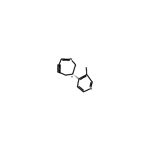 Cc1cnccc1[C@@H]1CC#CC=NC1